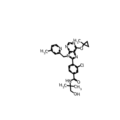 Cc1ccnc(Cn2c(-c3ccc(C(=O)NC(C)(C)CO)cc3Cl)nc3c(OC4(C)CC4)ncnc32)c1